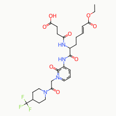 CCOC(=O)C=CCCC(NC(=O)CCC(=O)O)C(=O)Nc1cccn(CC(=O)N2CCC(C(F)(F)F)CC2)c1=O